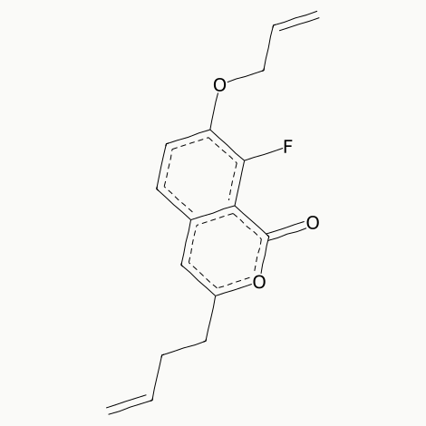 C=CCCc1cc2ccc(OCC=C)c(F)c2c(=O)o1